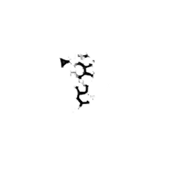 Cc1oc2ncnc(NC3(C)CC3)c2c1C(=O)N1Cc2cc(Br)cnc2C1